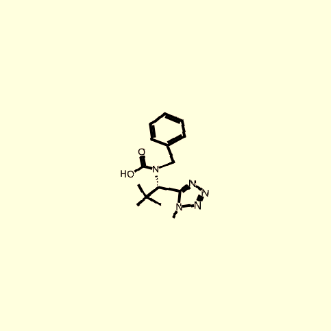 Cn1nnnc1[C@@H](N(Cc1ccccc1)C(=O)O)C(C)(C)C